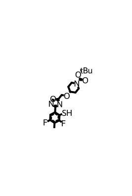 Cc1c(F)cc(-c2noc(COC3CCN(C(=O)OC(C)(C)C)CC3)n2)c(S)c1F